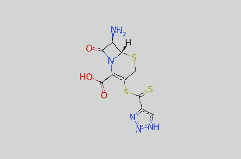 N[C@@H]1C(=O)N2C(C(=O)O)=C(SC(=S)c3c[nH]nn3)CS[C@@H]12